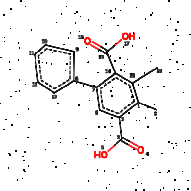 Cc1c(C(=O)O)cc(-c2ccccc2)c(C(=O)O)c1C